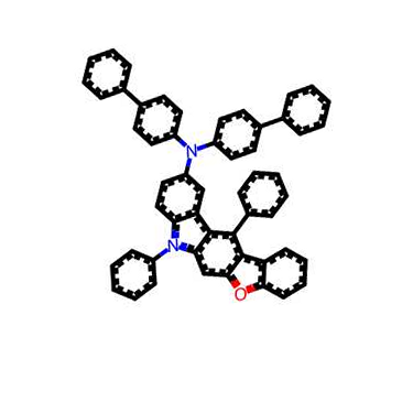 c1ccc(-c2ccc(N(c3ccc(-c4ccccc4)cc3)c3ccc4c(c3)c3c(-c5ccccc5)c5c(cc3n4-c3ccccc3)oc3ccccc35)cc2)cc1